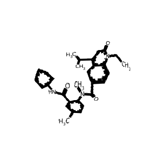 CCn1c(=O)cc(C(C)C)c2cc(C(=O)N(C)c3ccc(C)cc3C(=O)Nc3ccccc3)ccc21